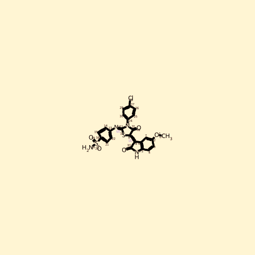 COc1ccc2c(c1)/C(=C1/S/C(=N\c3ccc(S(N)(=O)=O)cc3)N(c3ccc(Cl)cc3)C1=O)C(=O)N2